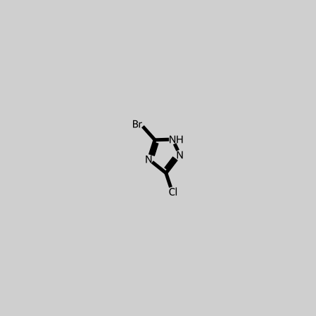 Clc1n[nH]c(Br)n1